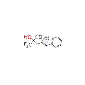 CCOC(=O)C(O)(C/C=C/c1ccccc1)C(F)(F)F